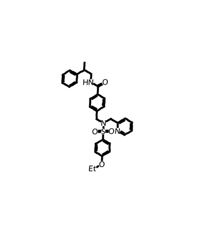 CCOc1ccc(S(=O)(=O)N(Cc2ccc(C(=O)NCC(C)c3ccccc3)cc2)Cc2ccccn2)cc1